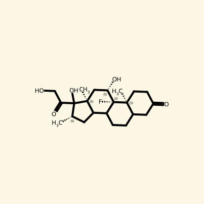 C[C@H]1CC2C3CCC4CC(=O)CC[C@]4(C)[C@]3(F)[C@@H](O)C[C@]2(C)C1(O)C(=O)CO